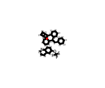 C(=C(c1ccccc1)c1ccccc1-c1cc2ccc1-2)c1ccccc1.FC(F)(F)Oc1ccc2nnccc2c1